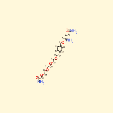 NC(=O)CC[C@H](N)COCc1ccc(CCOCCOCCOCCOCC(N)=O)cc1